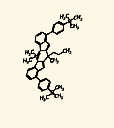 CCCC1(C)C2=Cc3c(-c4ccc([Si](C)(C)C)cc4)cccc3[CH]2[Hf]([CH3])([CH3])[CH]2C1=Cc1c(-c3ccc([Si](C)(C)C)cc3)cccc12